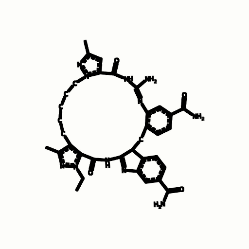 CCn1nc(C)c2c1C(=O)NC1=Nc3cc(C(N)=O)ccc3C1Cc1ccc(C(N)=O)cc1/N=C(\N)NC(=O)c1cc(C)nn1CCCCC2